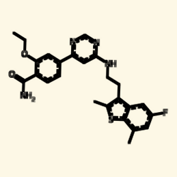 CCOc1cc(-c2cc(NCCc3c(C)sc4c(C)cc(F)cc34)ncn2)ccc1C(N)=O